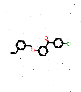 C=Cc1cccc(COc2cccc(C(=O)c3ccc(Cl)cc3)c2)c1